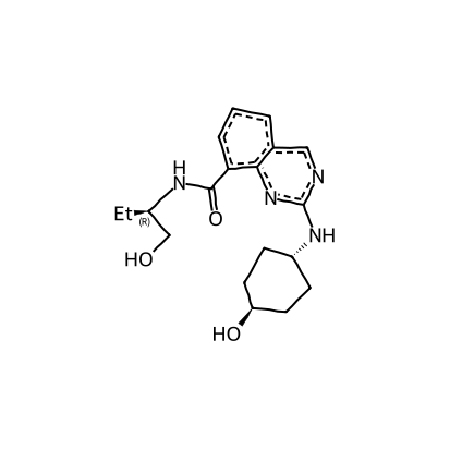 CC[C@H](CO)NC(=O)c1cccc2cnc(N[C@H]3CC[C@H](O)CC3)nc12